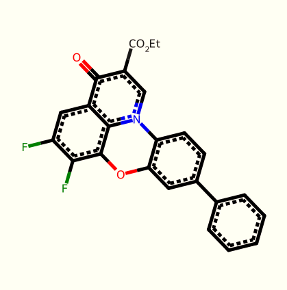 CCOC(=O)c1cn2c3c(c(F)c(F)cc3c1=O)Oc1cc(-c3ccccc3)ccc1-2